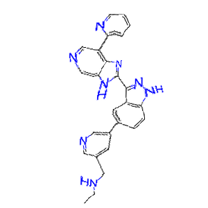 CCNCc1cncc(-c2ccc3[nH]nc(-c4nc5c(-c6ccccn6)cncc5[nH]4)c3c2)c1